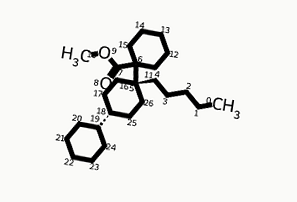 CCCCC[C@]1(C2(C(=O)OC)CCCCC2)CC[C@@H](C2CCCCC2)CC1